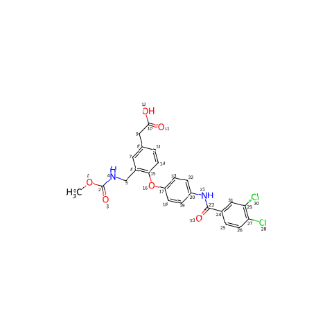 COC(=O)NCc1cc(CC(=O)O)ccc1Oc1ccc(NC(=O)c2ccc(Cl)c(Cl)c2)cc1